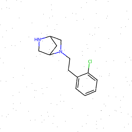 Clc1ccccc1CCN1CC2CC1CN2